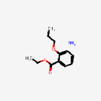 CCCOc1ccccc1C(=O)OCC.N